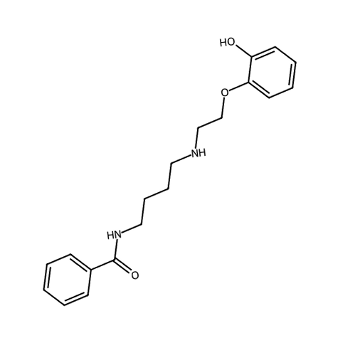 O=C(NCCCCNCCOc1ccccc1O)c1ccccc1